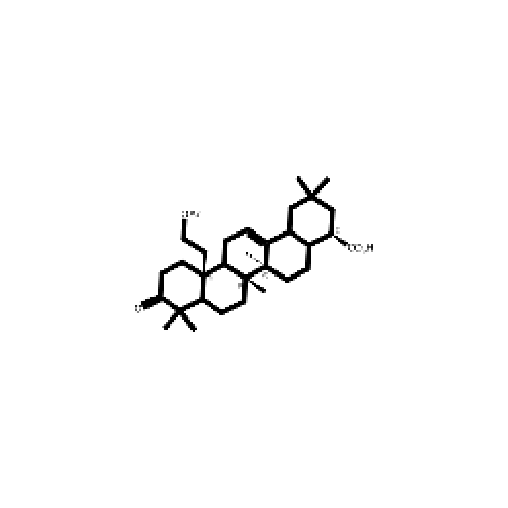 CC(=O)OCC[C@]12CCC(=O)C(C)(C)C1CC[C@]1(C)C2CC=C2C3CC(C)(C)C[C@@H](C(=O)O)C3CC[C@]21C